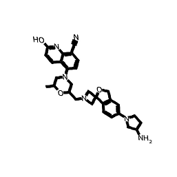 CC1CN(c2ccc(C#N)c3nc(O)ccc23)CC(CN2CC3(C2)OCc2cc(N4CCC(N)C4)ccc23)O1